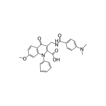 COc1ccc2c(=O)c(CNC(=O)c3ccc(N(C)C)cc3)c(C(=O)O)n(-c3ccccc3)c2c1